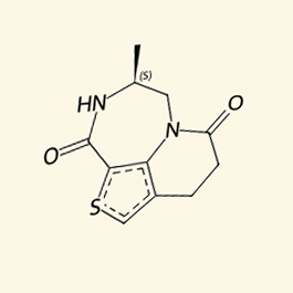 C[C@H]1CN2C(=O)CCc3csc(c32)C(=O)N1